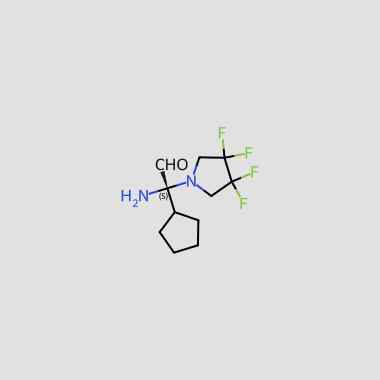 N[C@@](C=O)(C1CCCC1)N1CC(F)(F)C(F)(F)C1